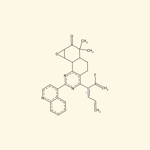 C=C/C=C(\C(=C)F)c1nc(-c2ccnc3ccccc23)nc2c1CCC1C2C2OC2C(=O)C1(C)C